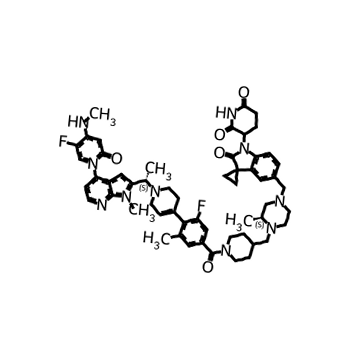 CNc1cc(=O)n(-c2ccnc3c2cc([C@H](C)N2CC=C(c4c(C)cc(C(=O)N5CCC(CN6CCN(Cc7ccc8c(c7)C7(CC7)C(=O)N8C7CCC(=O)NC7=O)C[C@@H]6C)CC5)cc4F)CC2)n3C)cc1F